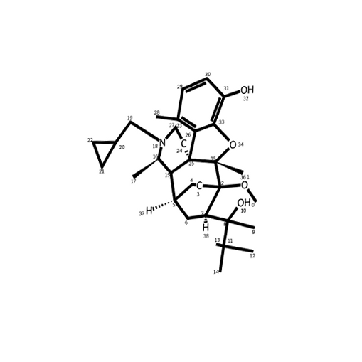 COC12CC[C@@H](C[C@@H]1C(C)(O)C(C)(C)C)C1[C@@H](C)N(CC3CC3)CC[C@@]13c1c(C)ccc(O)c1O[C@]23C